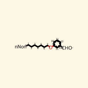 CCCCCCCCCCCCCCCCOc1cccc([C]=O)c1